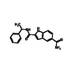 CC(NC(=O)c1cc2cc(C(N)=O)ccc2[nH]1)c1ccccc1